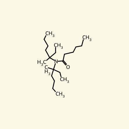 CCCCCC(=O)N(C(C)(CC)CCCC)C(C)(CC)CCCC